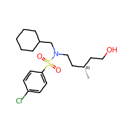 C[C@@H](CCO)CCN(CC1CCCCC1)S(=O)(=O)c1ccc(Cl)cc1